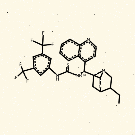 CCC1CN2CCC1CC2[C@@H](NC(=S)Nc1cc(C(F)(F)F)cc(C(F)(F)F)c1)c1ccnc2ccccc12